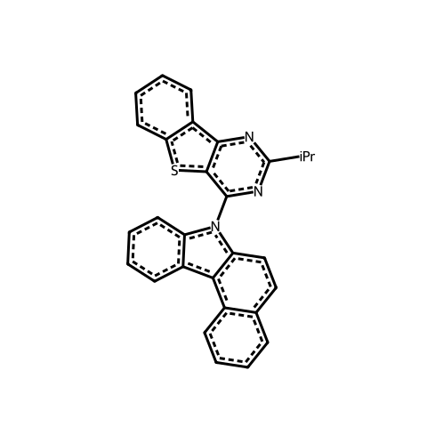 CC(C)c1nc(-n2c3ccccc3c3c4ccccc4ccc32)c2sc3ccccc3c2n1